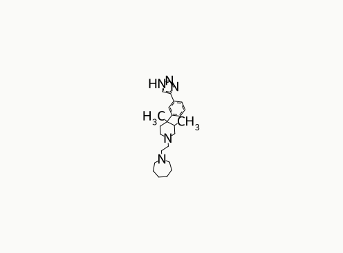 CC1CN(CCN2CCCCCC2)CCC1(C)c1cccc(-c2c[nH]nn2)c1